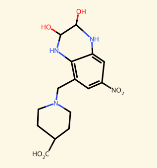 O=C(O)C1CCN(Cc2cc([N+](=O)[O-])cc3c2NC(O)C(O)N3)CC1